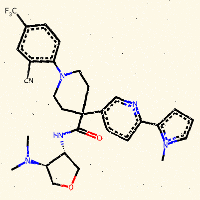 CN(C)[C@@H]1COC[C@H]1NC(=O)C1(c2ccc(-c3cccn3C)nc2)CCN(c2ccc(C(F)(F)F)cc2C#N)CC1